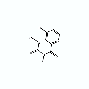 CN(C(=O)OC(C)(C)C)C(=O)c1cc(Cl)ccn1